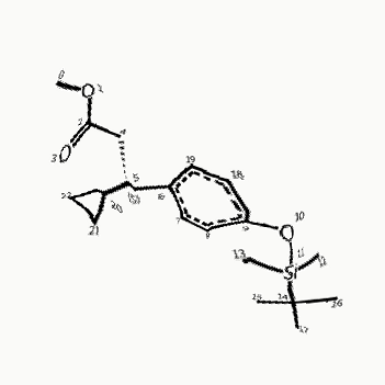 COC(=O)C[C@H](c1ccc(O[Si](C)(C)C(C)(C)C)cc1)C1CC1